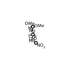 COc1cc2ncnc(Oc3cc(F)c(C(=O)C(=O)Nc4ccc([N+](=O)[O-])cc4)c(F)c3)c2cc1OC